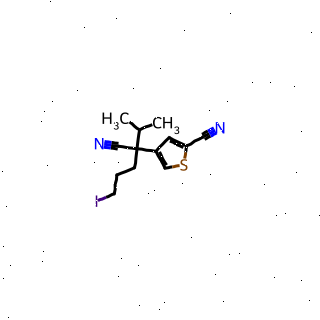 CC(C)C(C#N)(CCCI)c1csc(C#N)c1